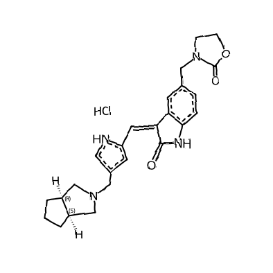 Cl.O=C1Nc2ccc(CN3CCOC3=O)cc2C1=Cc1cc(CN2C[C@H]3CCC[C@H]3C2)c[nH]1